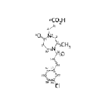 CC1CN(CCC(=O)O)C(=O)CCN1C(=O)C=Cc1cccc(Cl)c1